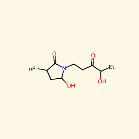 CCCC1CC(O)N(CCC(=O)C(O)CC)C1=O